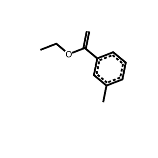 C=C(OCC)c1cccc(C)c1